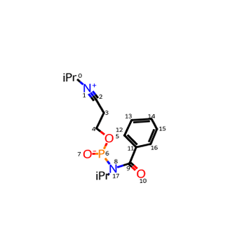 CC(C)[N+]#CCCOP([O-])N(C(=O)c1ccccc1)C(C)C